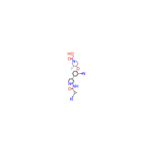 N#Cc1cc(-c2ccnc(NC(=O)C3CC3C#N)c2)ccc1OC1CCN(C(=O)CO)CC1F